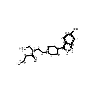 CCN(CCN1CCC(c2noc3cc(F)ccc23)CC1)C(=O)CCO